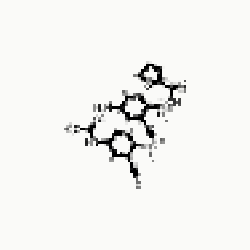 CC(=O)Nc1ccc(N)c(C#N)c1.N#Cc1cc(N)ccc1N.O=C(O)c1ccco1